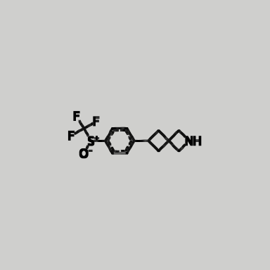 [O-][S+](c1ccc(C2CC3(CNC3)C2)cc1)C(F)(F)F